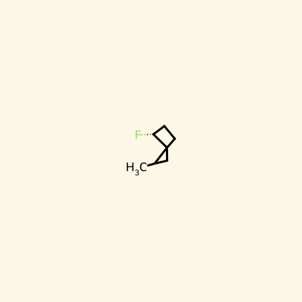 CC1CC12CC[C@H]2F